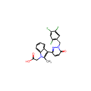 Cc1c(-c2ccc(=O)n(Cc3cc(F)c(F)cc3F)n2)c2ccccc2n1CC(=O)O